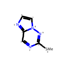 CSc1ncc2nccn2n1